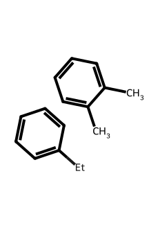 CCc1ccccc1.Cc1ccccc1C